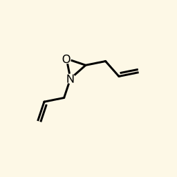 C=CCC1ON1CC=C